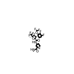 CNC(=O)c1cc(NC(=O)[C@@H]2O[C@@](C)(C(F)(F)F)[C@@H](C)[C@@H]2c2ccc(F)c(F)c2OC(F)F)ccn1